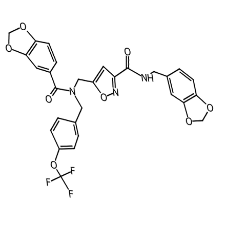 O=C(NCc1ccc2c(c1)OCO2)c1cc(CN(Cc2ccc(OC(F)(F)F)cc2)C(=O)c2ccc3c(c2)OCO3)on1